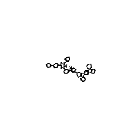 C1=C(c2ccc3oc4c(-c5nc(-c6ccccc6)nc(-c6ccc(-c7ccccc7)cc6)n5)cccc4c3c2)CCC2=C1c1cc3c(cc1C21CCCCC1)-c1ccccc1C31CCCCC1